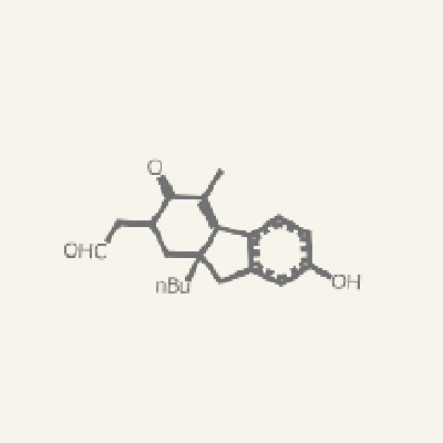 CCCCC12Cc3cc(O)ccc3C1=C(C)C(=O)C(CC=O)C2